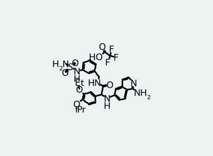 CCOc1cc(C(Nc2ccc3c(N)nccc3c2)C(=O)NCc2cccc(NS(N)(=O)=O)c2)ccc1OC(C)C.O=C(O)C(F)(F)F